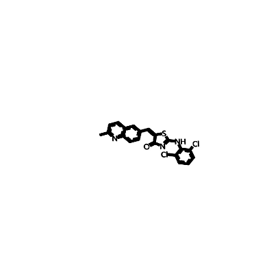 Cc1ccc2cc(C=C3SC(Nc4c(Cl)cccc4Cl)=NC3=O)ccc2n1